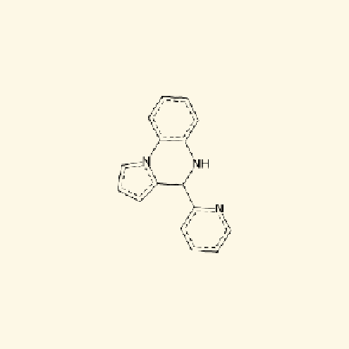 c1ccc(C2Nc3ccccc3-n3cccc32)nc1